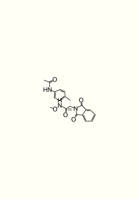 CONC(=O)[C@H](Cc1ccc(NC(C)=O)cc1)N1C(=O)c2ccccc2C1=O